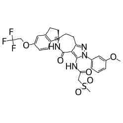 COc1cccc(-n2nc3c(c2NC(=O)CS(C)(=O)=O)C(=O)N[C@@]2(CCc4cc(OCC(F)(F)F)ccc42)CC3)c1